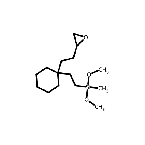 CO[Si](C)(CCC1(CCC2CO2)CCCCC1)OC